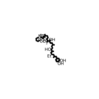 CCC(/C=C(\C)C(O)CCC(C)/C=C/C(O)C(C)C1CCC(C)C(O)(C(=O)C(=O)N2CCCCC2C(=O)O)O1)C/C(C)=C/c1ccc(O)c(O)c1